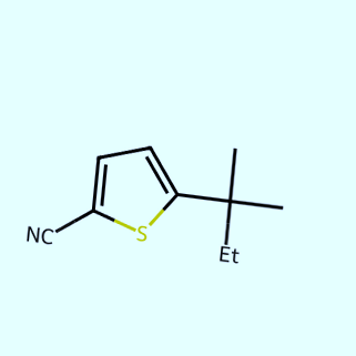 CCC(C)(C)c1ccc(C#N)s1